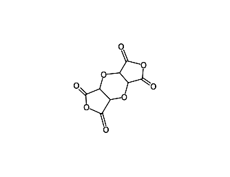 O=C1OC(=O)C2OC3C(=O)OC(=O)C3OC12